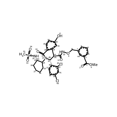 COC(=O)c1cccc(CONC(=O)[C@@H]2c3cc(O)ccc3C(=O)N(C3CCCC[C@@H]3NS(C)(=O)=O)[C@H]2c2ccc(Cl)cc2Cl)c1